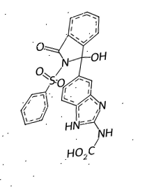 O=C(O)Nc1nc2cc(C3(O)c4ccccc4C(=O)N3S(=O)(=O)c3ccccc3)ccc2[nH]1